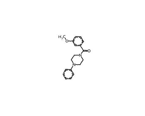 COc1cccc(C(=O)N2CCN(c3ccccc3)CC2)c1